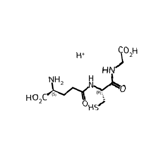 N[C@@H](CCC(=O)N[C@@H](CS)C(=O)NCC(=O)O)C(=O)O.[H+]